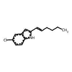 CCCCC=Cc1cc2cc(Cl)ccc2[nH]1